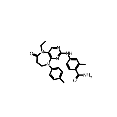 CCN1C(=O)CCN(c2ccc(C)cc2)c2nc(Nc3ccc(C(N)=O)c(C)c3)ncc21